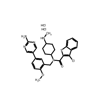 CNC1CCC(N(Cc2cc(-c3cnc(N)nc3)ccc2OC)C(=O)c2sc3ccccc3c2Cl)CC1.Cl.Cl